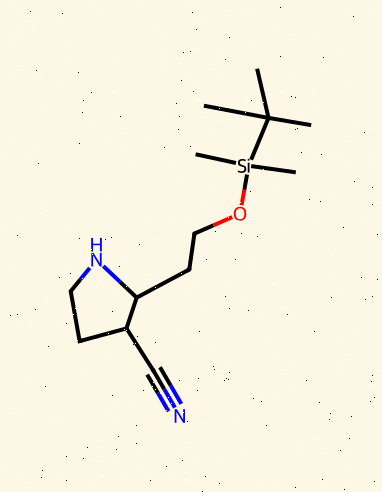 CC(C)(C)[Si](C)(C)OCCC1NCCC1C#N